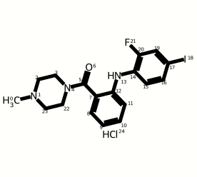 CN1CCN(C(=O)c2ccccc2Nc2ccc(I)cc2F)CC1.Cl